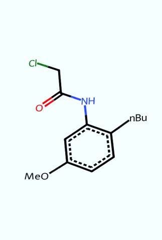 CCCCc1ccc(OC)cc1NC(=O)CCl